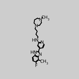 Cc1c(F)ccc2[nH]c(-c3ccnc(NCCCCN4CCCN(C)CC4)c3)nc12